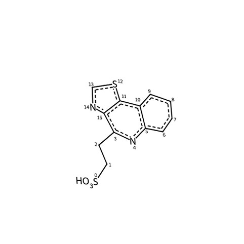 O=S(=O)(O)CCc1nc2ccccc2c2scnc12